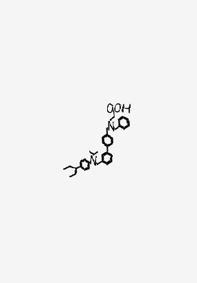 CCC(CC)c1ccc(N(Cc2cccc(-c3ccc(CN(CCC(=O)O)Cc4ccccc4)cc3)c2)C(C)C)cc1